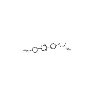 CCCCCCCCC(F)COc1ccc(-c2ncc(-c3ccc(CCCCC)cc3)cn2)cc1